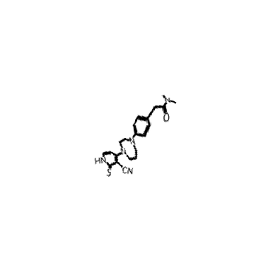 CN(C)C(=O)Cc1ccc(N2CCCN(c3cc[nH]c(=S)c3C#N)CC2)cc1